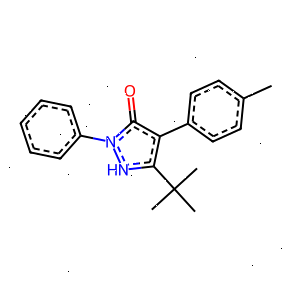 Cc1ccc(-c2c(C(C)(C)C)[nH]n(-c3ccccc3)c2=O)cc1